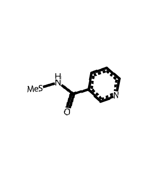 CSNC(=O)c1cccnc1